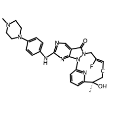 CN1CCN(c2ccc(Nc3ncc4c(=O)n5n(c4n3)-c3cccc(n3)[C@](C)(O)CC/C=C(\F)C5)cc2)CC1